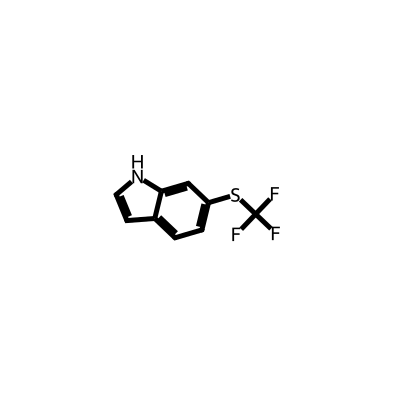 FC(F)(F)Sc1ccc2cc[nH]c2c1